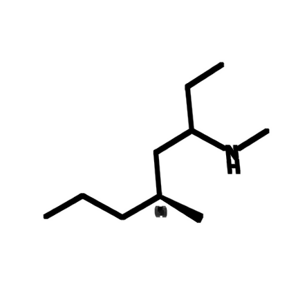 CCC[C@H](C)CC(CC)NC